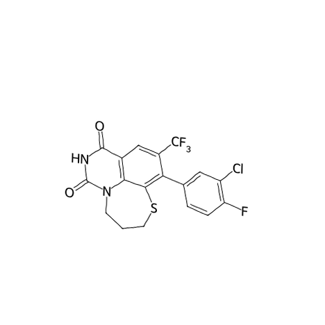 O=c1[nH]c(=O)n2c3c(c(-c4ccc(F)c(Cl)c4)c(C(F)(F)F)cc13)SCCC2